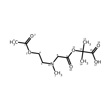 CC(=O)OCCN(C)CC(=O)OC(C)(C)C(=O)O